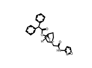 O=C(C[N+]12CCC(CC1)[C@@H](OC(=O)C(c1ccccc1)c1ccccc1)C2)Nc1ccon1